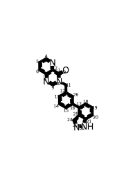 O=c1c2ncccc2ncn1Cc1cccc(-c2cccc3[nH]ncc23)c1